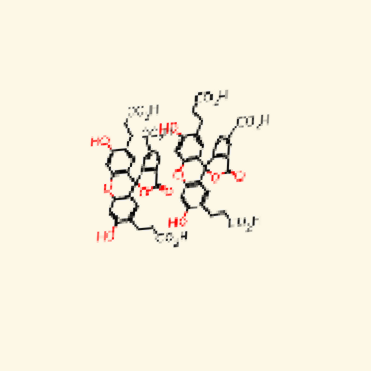 O=C(O)CCc1cc2c(cc1O)Oc1cc(O)c(CCC(=O)O)cc1C21OC(=O)c2cc(C(=O)O)ccc21.O=C(O)CCc1cc2c(cc1O)Oc1cc(O)c(CCC(=O)O)cc1C21OC(=O)c2ccc(C(=O)O)cc21